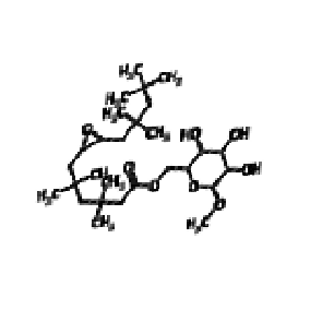 COC1OC(COC(=O)CC(C)(C)CC(C)(C)CC2OC2CC(C)(C)CC(C)(C)C)C(O)C(O)C1O